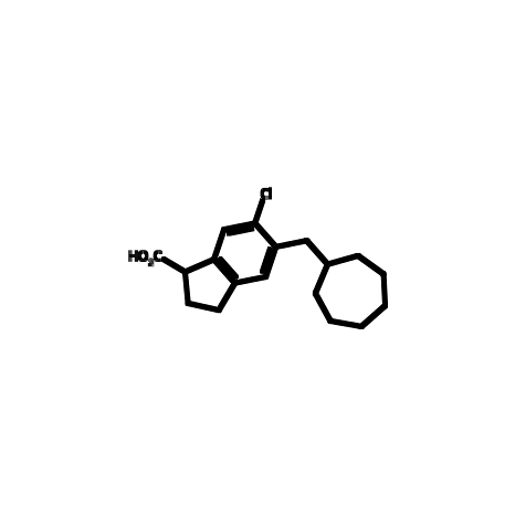 O=C(O)C1CCc2cc(CC3CCCCCC3)c(Cl)cc21